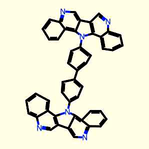 c1ccc2c(c1)ncc1c3cnc4ccccc4c3n(-c3ccc(-c4ccc(-n5c6c7ccccc7ncc6c6cnc7ccccc7c65)cc4)cc3)c21